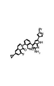 CC(C)n1cc(-c2cc3c(-c4cccc(-n5ccc6cc(C7CC7)cc(F)c6c5=O)c4CN=O)nc(N)nc3[nH]2)cn1